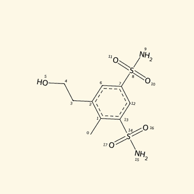 Cc1c(CCO)cc(S(N)(=O)=O)cc1S(N)(=O)=O